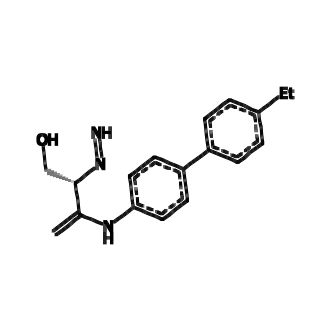 C=C(Nc1ccc(-c2ccc(CC)cc2)cc1)[C@H](CO)N=N